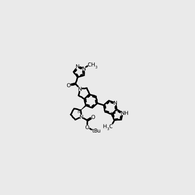 Cc1c[nH]c2ncc(-c3cc4c(c([C@@H]5CCCN5C(=O)OC(C)(C)C)c3)CN(C(=O)c3cnn(C)c3)C4)cc12